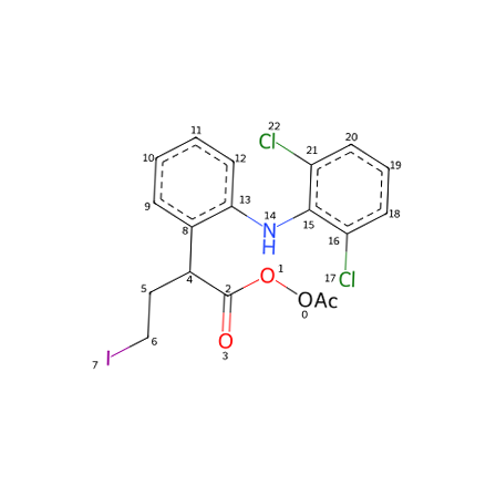 CC(=O)OOC(=O)C(CCI)c1ccccc1Nc1c(Cl)cccc1Cl